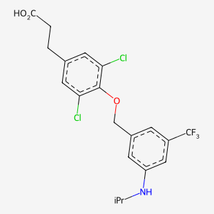 CC(C)Nc1cc(COc2c(Cl)cc(CCC(=O)O)cc2Cl)cc(C(F)(F)F)c1